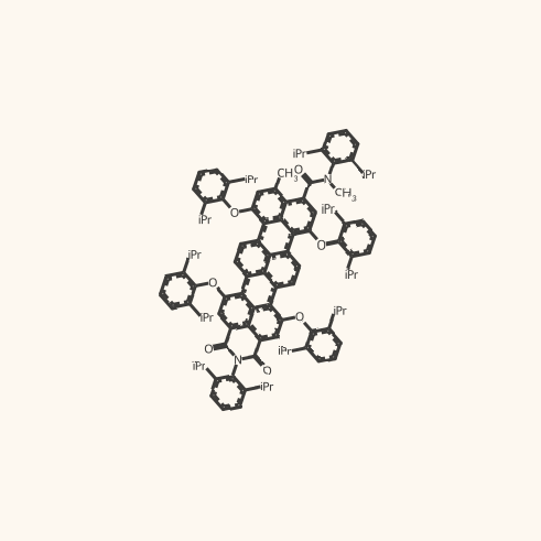 Cc1cc(Oc2c(C(C)C)cccc2C(C)C)c2c3ccc4c5c(Oc6c(C(C)C)cccc6C(C)C)cc6c7c(cc(Oc8c(C(C)C)cccc8C(C)C)c(c8ccc(c9c(Oc%10c(C(C)C)cccc%10C(C)C)cc(C(=O)N(C)c%10c(C(C)C)cccc%10C(C)C)c1c29)c3c48)c75)C(=O)N(c1c(C(C)C)cccc1C(C)C)C6=O